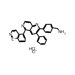 Cl.NCc1ccc(-c2nc3ccnc(-c4cccc5c4C=CN=[C+]5)c3cc2-c2ccccc2)cc1.[Cl-]